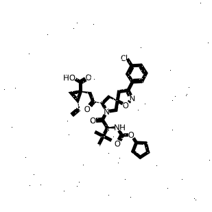 C=C[C@@H]1C[C@]1(CC(=O)[C@@H]1C[C@]2(CC(c3cccc(Cl)c3)=NO2)CN1C(=O)[C@@H](NC(=O)OC1CCCC1)C(C)(C)C)C(=O)O